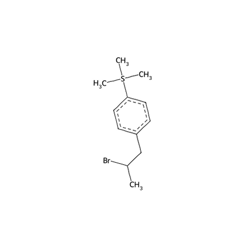 CC(Br)Cc1ccc(S(C)(C)C)cc1